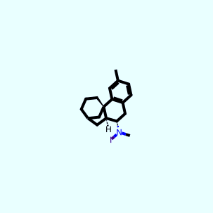 Cc1ccc2c(c1)[C@]13CCCC(C[C@@H]1[C@@H](N(C)I)C2)C3